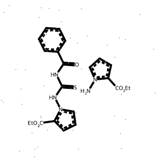 CCOC(=O)c1cccn1N.CCOC(=O)c1cccn1NC(=S)NC(=O)c1ccccc1